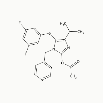 CC(=O)Oc1nc(C(C)C)c(Sc2cc(F)cc(F)c2)n1Cc1ccncc1